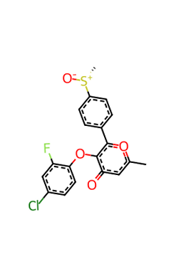 Cc1cc(=O)c(Oc2ccc(Cl)cc2F)c(-c2ccc([S@@+](C)[O-])cc2)o1